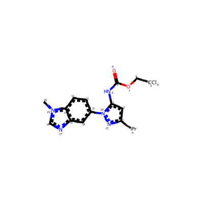 CC(C)c1cc(NC(=O)OCC(Cl)(Cl)Cl)n(-c2ccc3c(c2)ncn3C)n1